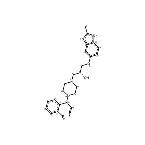 Cc1nc2cc(OC[C@H](O)CN3CCN(N(C=S)c4ccccc4F)CC3)ccc2s1